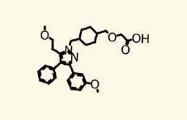 COCCc1c(-c2ccccc2)c(-c2cccc(OC)c2)nn1CC1CCC(COCC(=O)O)CC1